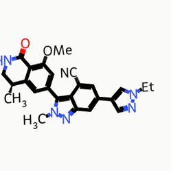 CCn1cc(-c2cc(C#N)c3c(-c4cc(OC)c5c(c4)[C@@H](C)CNC5=O)n(C)nc3c2)cn1